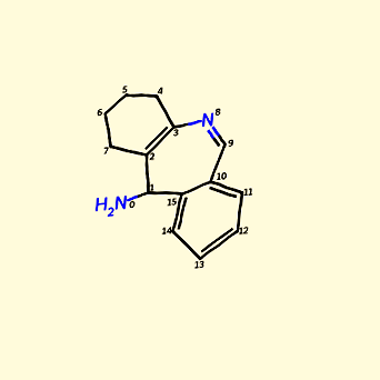 NC1C2=C(CCCC2)N=Cc2ccccc21